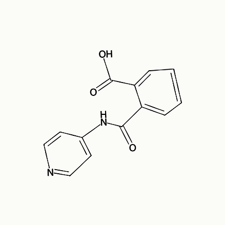 O=C(O)c1ccccc1C(=O)Nc1ccncc1